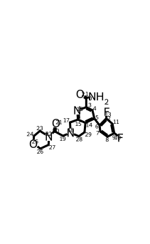 NC(=O)c1cc(-c2ccc(F)cc2F)c2c(n1)CN(CC(=O)N1CCOCC1)CC2